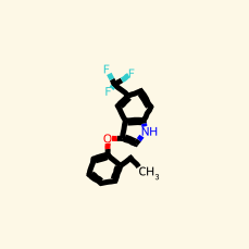 CCc1ccccc1Oc1c[nH]c2ccc(C(F)(F)F)cc12